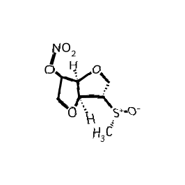 C[S@@+]([O-])[C@H]1CO[C@@H]2C(O[N+](=O)[O-])CO[C@@H]21